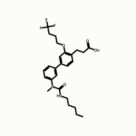 CCCCCNC(=O)N(C)c1cccc(-c2ccc(CCC(=O)O)c(OCCCC(F)(F)F)c2)c1